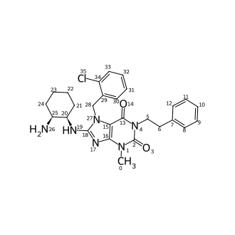 Cn1c(=O)n(CCc2ccccc2)c(=O)c2c1nc(N[C@@H]1CCCC[C@@H]1N)n2Cc1ccccc1Cl